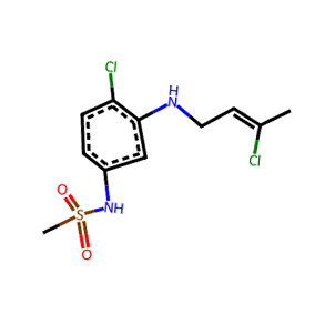 CC(Cl)=CCNc1cc(NS(C)(=O)=O)ccc1Cl